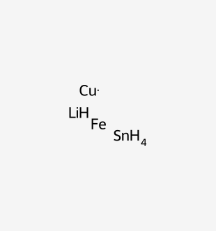 [Cu].[Fe].[LiH].[SnH4]